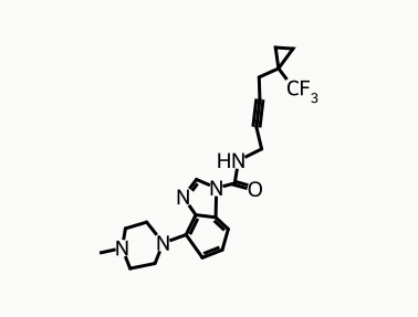 CN1CCN(c2cccc3c2ncn3C(=O)NCC#CCC2(C(F)(F)F)CC2)CC1